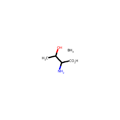 B.CC(O)C(N)C(=O)O